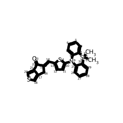 C[Si]1(C)c2ccccc2N(c2ccc(/C=C3\Cc4cscc4C3=O)s2)c2ccccc21